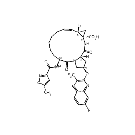 Cc1cc(C(=O)N[C@H]2CCCCCC=C[C@@H]3C[C@@]3(C(=O)O)NC(=O)[C@@H]3C[C@@H](Oc4nc5cc(F)ccc5nc4C(F)(F)F)CN3C2=O)no1